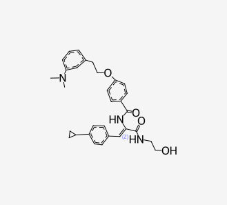 CN(C)c1cccc(CCOc2ccc(C(=O)N/C(=C\c3ccc(C4CC4)cc3)C(=O)NCCO)cc2)c1